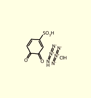 Cl.O=C1C=CC(S(=O)(=O)O)=CC1=O.[N-]=[N+]=N.[N-]=[N+]=[N-]